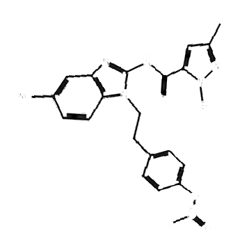 CCn1nc(C)cc1C(=O)Nc1nc2cc(C#N)ccc2n1CCc1ccc(O[PH](=O)O)cc1